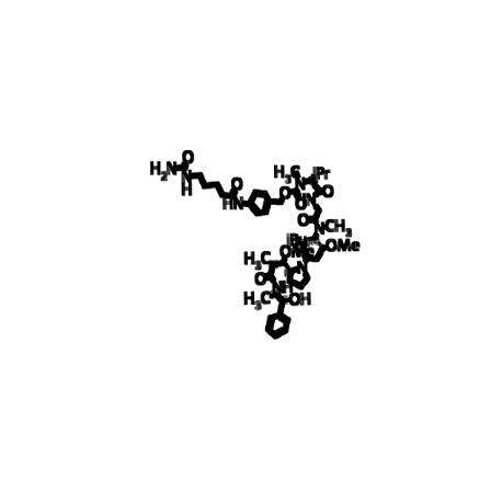 CC[C@H](C)[C@@H](C(CC(=O)N1CCC[C@H]1C(OC)[C@@H](C)C(=O)N[C@H](C)[C@@H](O)c1ccccc1)OC)N(C)C(=O)CNC(=O)[C@H](C(C)C)N(C)C(=O)OCc1ccc(NC(=O)CCCCNC(N)=O)cc1